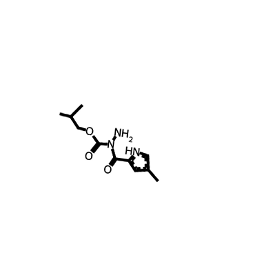 Cc1c[nH]c(C(=O)N(N)C(=O)OCC(C)C)c1